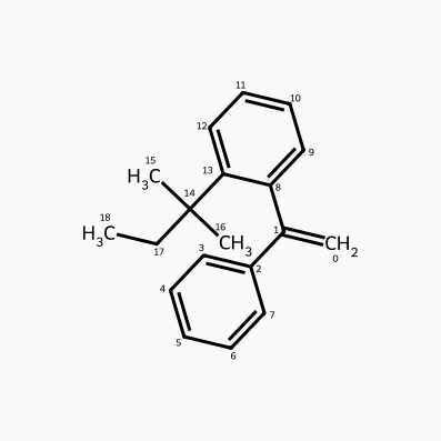 C=C(c1ccccc1)c1ccccc1C(C)(C)CC